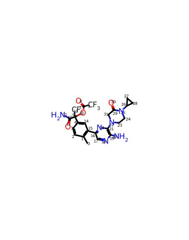 Cc1ccc(C(OC(=O)C(F)(F)F)(C(N)=O)C(F)(F)F)cc1-c1cnc(N)c(N2CCN(C3CC3)C(=O)C2)n1